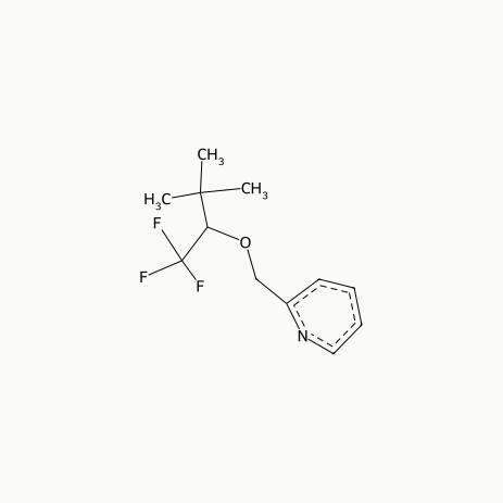 CC(C)(C)C(OCc1ccccn1)C(F)(F)F